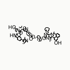 CCc1cccc2cc(O)cc(-c3ncc4c(N5CCCCCC5)nc(OC[C@]56CCCN5[C@@H](COC(=O)N5CCN(c7cc([C@H](C(=O)N8C[C@H](O)C[C@H]8C(=O)N[C@@H](C)c8ccc(-c9scnc9C)cc8)C(C)C)on7)CC5)CC6)nc4c3F)c12